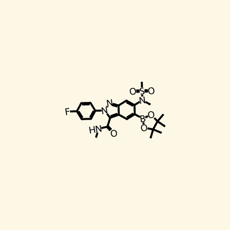 CNC(=O)c1c2cc(B3OC(C)(C)C(C)(C)O3)c(N(C)S(C)(=O)=O)cc2nn1-c1ccc(F)cc1